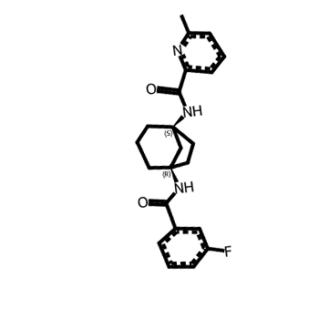 Cc1cccc(C(=O)N[C@@]23CCC[C@@](NC(=O)c4cccc(F)c4)(CC2)C3)n1